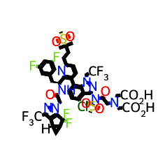 CC(C)(CCc1ccc(-c2ccc(Cl)c3c(N(C(=O)CN(CC(=O)O)CC(=O)O)S(C)(=O)=O)nn(CC(F)(F)F)c23)c([C@H](Cc2cc(F)cc(F)c2)NC(=O)Cn2nc(C(F)(F)F)c3c2C(F)(F)C2C[C@H]32)n1)S(C)(=O)=O